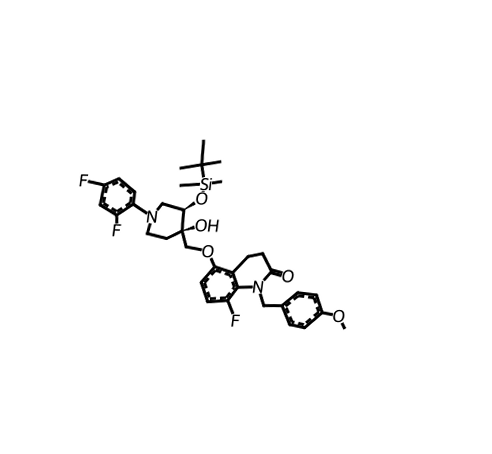 COc1ccc(CN2C(=O)CCc3c(OC[C@]4(O)CCN(c5ccc(F)cc5F)C[C@H]4O[Si](C)(C)C(C)(C)C)ccc(F)c32)cc1